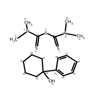 CN(C)C(=S)SC(=S)N(C)C.OC1(c2cc[c]cc2)CCCCC1